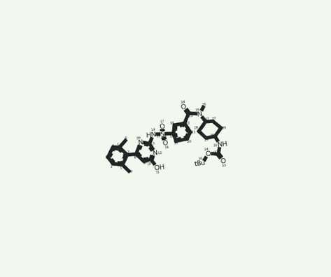 Cc1cccc(C)c1-c1cc(O)nc(NS(=O)(=O)c2cccc(C(=O)N(C)C3CCC(NC(=O)OC(C)(C)C)CC3)c2)n1